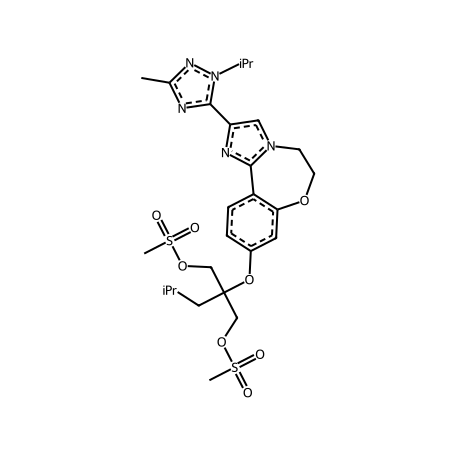 Cc1nc(-c2cn3c(n2)-c2ccc(OC(COS(C)(=O)=O)(COS(C)(=O)=O)CC(C)C)cc2OCC3)n(C(C)C)n1